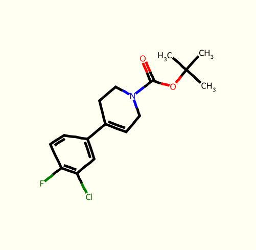 CC(C)(C)OC(=O)N1CC=C(c2ccc(F)c(Cl)c2)CC1